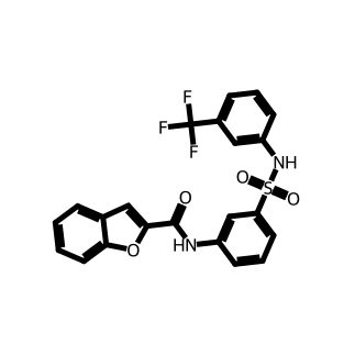 O=C(Nc1cccc(S(=O)(=O)Nc2cccc(C(F)(F)F)c2)c1)c1cc2ccccc2o1